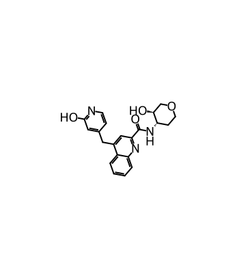 O=C(N[C@H]1CCOC[C@@H]1O)c1cc(Cc2ccnc(O)c2)c2ccccc2n1